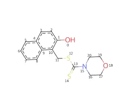 Oc1ccc2ccccc2c1CSC(=S)N1CCOCC1